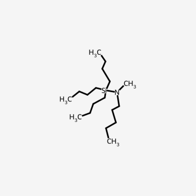 CCCCCN(C)[Si](CCCC)(CCCC)CCCC